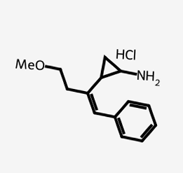 COCCC(=Cc1ccccc1)C1CC1N.Cl